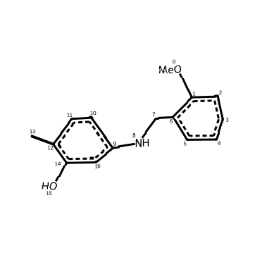 COc1ccccc1CNc1ccc(C)c(O)c1